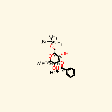 C#C[C@H](O[C@H]1[C@@H](O)[C@@H](CO[Si](C)(C)C(C)(C)C)O[C@H](OC)[C@@H]1O)c1ccccc1